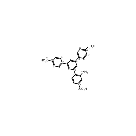 Nc1cc(C(=O)O)ccc1-c1cc(-c2ccc(C(=O)O)cc2)cc(-c2ccc(C(=O)O)cc2)c1